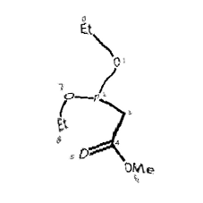 CCOP(CC(=O)OC)OCC